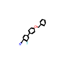 N#Cc1ccc(-c2ccc(OCc3ccccc3)cc2)cc1F